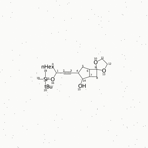 CCCCCCC(C#CC1CC2C(CC23OCCO3)C1O)O[Si](C)(C)C(C)(C)C